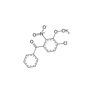 COc1c(Cl)ccc(C(=O)c2ccccc2)c1[N+](=O)[O-]